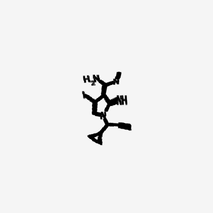 C#CC(C1CC1)N1C=C(I)/C(=C(\N)N=C)C1=N